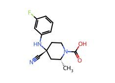 C[C@@H]1C[C@](C#N)(Nc2cccc(F)c2)CCN1C(=O)O